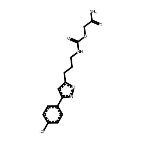 NC(=O)COC(=O)NCCCc1cc(-c2ccc(Cl)cc2)no1